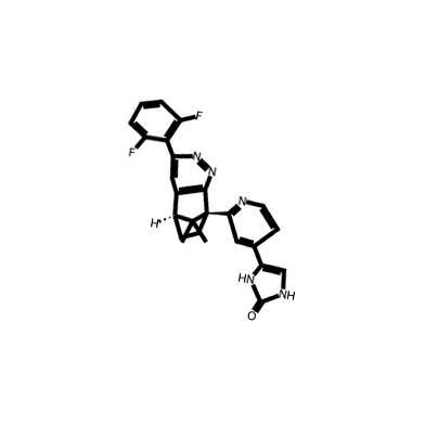 CC1(C)[C@H]2CC[C@@]1(c1cc(-c3c[nH]c(=O)[nH]3)ccn1)c1nnc(-c3c(F)cccc3F)cc12